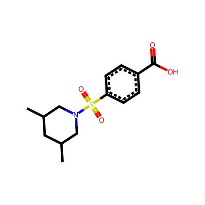 CC1CC(C)CN(S(=O)(=O)c2ccc(C(=O)O)cc2)C1